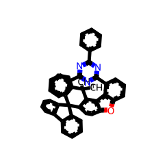 CC1(C)c2ccccc2C2(c3ccccc3-c3ccccc32)c2ccc3oc4cccc(-c5nc(-c6ccccc6)nc(-c6ccccc6)n5)c4c3c21